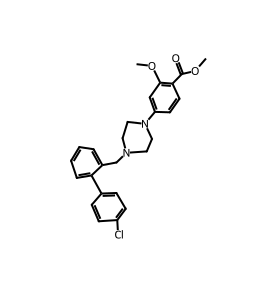 COC(=O)c1ccc(N2CCN(Cc3ccccc3-c3ccc(Cl)cc3)CC2)cc1OC